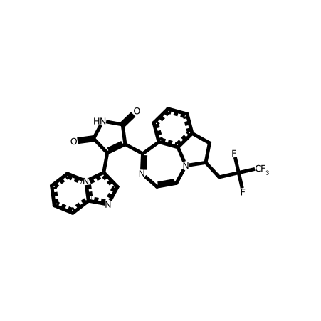 O=C1NC(=O)C(c2cnc3ccccn23)=C1C1=NC=CN2c3c(cccc31)CC2CC(F)(F)C(F)(F)F